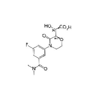 CN(C)C(=O)c1cc(F)cc(N2CCO[C@H]([C@@H](O)C(=O)O)C2=O)c1